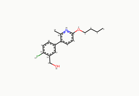 CCCCOc1ccc(-c2ccc(F)c(CO)c2)c(C)n1